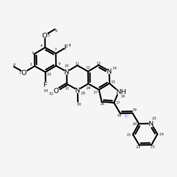 COc1cc(OC)c(F)c(N2Cc3cnc4[nH]c(/C=C/c5ccccn5)cc4c3N(C)C2=O)c1F